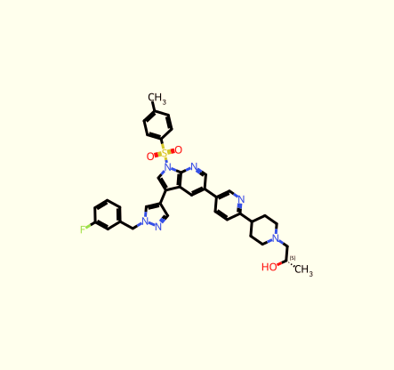 Cc1ccc(S(=O)(=O)n2cc(-c3cnn(Cc4cccc(F)c4)c3)c3cc(-c4ccc(C5CCN(C[C@H](C)O)CC5)nc4)cnc32)cc1